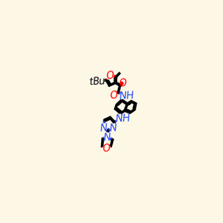 Cc1oc(C(C)(C)C)cc1C(=O)C(=O)Nc1ccc(Nc2ccnc(N3CCOCC3)n2)c2ccccc12